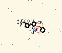 CCN(Cc1cc(C(F)(F)F)ccc1-c1cc(C(C)(C)C(=O)O)ccc1OC)C(=O)OCc1ccccc1